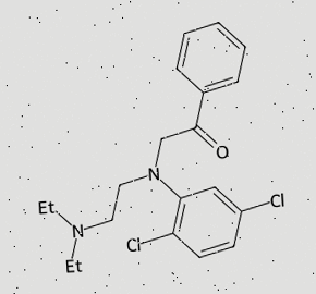 CCN(CC)CCN(CC(=O)c1ccccc1)c1cc(Cl)ccc1Cl